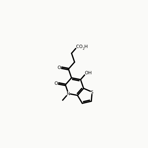 Cn1c(=O)c(C(=O)CCC(=O)O)c(O)c2sccc21